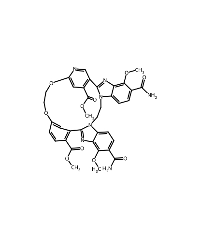 COC(=O)c1cc2ncc1-c1nc3c(OC)c(C(N)=O)ccc3n1CCn1c(nc3c(OC)c(C(N)=O)ccc31)-c1cc(ccc1C(=O)OC)OCCO2